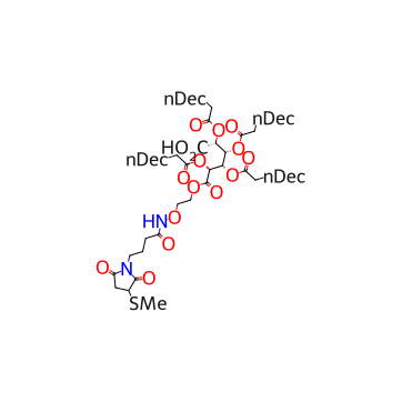 CCCCCCCCCCCC(=O)O[C@H]([C@H](OC(=O)CCCCCCCCCCC)[C@H](OC(=O)CCCCCCCCCCC)C(=O)OCCONC(=O)CCCN1C(=O)CC(SC)C1=O)[C@@H](OC(=O)CCCCCCCCCCC)C(=O)O